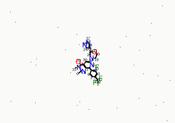 Cc1nc2c(-c3ccc(C(F)(F)F)cc3F)nc(N3CCO[C@H](c4cnn(C)c4)C3)cc2c(=O)n1C